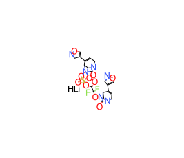 O=C1N2CC=C(c3cnoc3)C(C2)N1OC(F)(F)C(=O)OS(=O)(=O)ON1C(=O)N2CC=C(c3cnoc3)C1C2.[LiH]